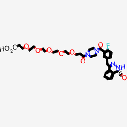 O=C=C1NN=C(Cc2ccc(F)c(C(=O)N3CCN(C(=O)CCOCCOCCOCCOCCOCCC(=O)O)CC3)c2)c2ccccc21